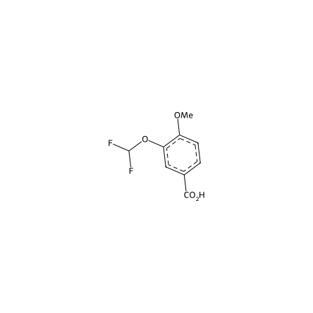 COc1ccc(C(=O)O)cc1OC(F)F